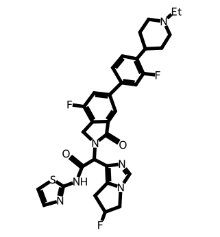 CCN1CCC(c2ccc(-c3cc(F)c4c(c3)C(=O)N(C(C(=O)Nc3nccs3)c3ncn5c3CC(F)C5)C4)cc2F)CC1